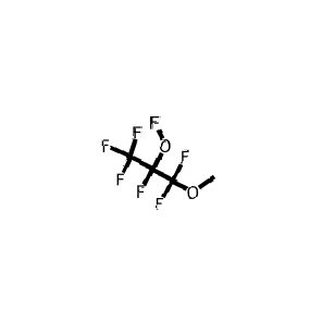 COC(F)(F)C(F)(OF)C(F)(F)F